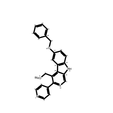 COCc1c(-c2ccncc2)ncc2[nH]c3ccc(OCc4ccccc4)cc3c12